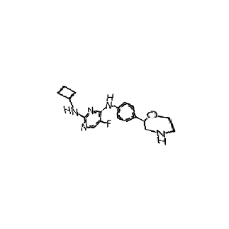 Fc1cnc(NC2CCC2)nc1Nc1ccc(C2CNCCO2)cc1